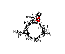 CC[C@H](C)C1NC(=O)[C@@H](CCCNC(=N)N)NC(=O)[C@H](CC(C)C)NC(=O)[C@H]([C@H](O)C(C)C)NC(=O)[C@@H](NC(=O)[C@H](Cc2ccncc2)NC(=O)[C@H](N)CC(C)(C)C)[C@@H](c2ccccc2)OC(=O)[C@H](CO)NC(=O)[C@H]([C@H](O)C(N)=O)NC(=O)CNC(=O)[C@H]([C@H](C)O)NC1=O